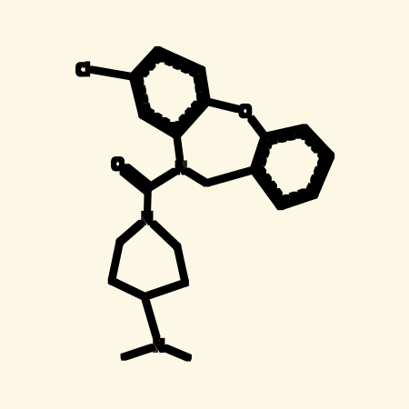 CN(C)C1CCN(C(=O)N2Cc3ccccc3Oc3ccc(Cl)cc32)CC1